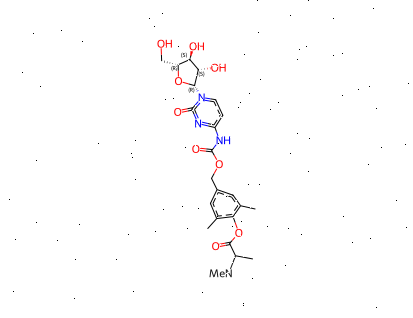 CNC(C)C(=O)Oc1c(C)cc(COC(=O)Nc2ccn([C@@H]3O[C@H](CO)[C@@H](O)[C@@H]3O)c(=O)n2)cc1C